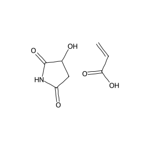 C=CC(=O)O.O=C1CC(O)C(=O)N1